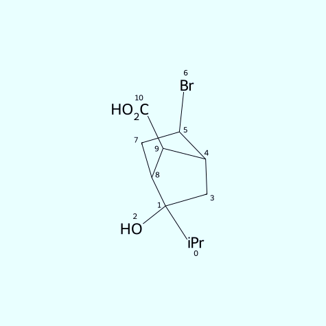 CC(C)C1(O)CC2C(Br)CC1C2C(=O)O